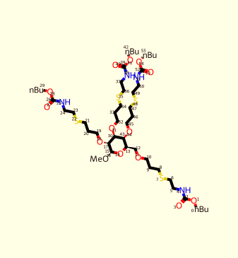 CCCCOC(=O)NCCSCCCOC[C@H]1O[C@H](OC)[C@H](OCCCSCCNC(=O)OCCCC)[C@@H](OCCCSCCNC(=O)OCCCC)[C@H]1OCCCSCCNC(=O)OCCCC